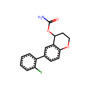 NC(=O)OC1CCOc2ccc(-c3ccccc3F)cc21